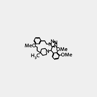 COCCC1(C)CCN(C(c2cccc(OC)c2OC)c2nnnn2CCc2ccccc2)CC1